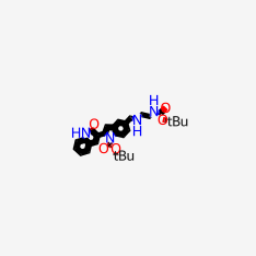 CC(C)(C)OC(=O)NCCNCc1ccc2c(c1)cc(-c1cc3ccccc3[nH]c1=O)n2C(=O)OC(C)(C)C